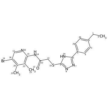 CCc1ccc(-c2nnc(SCC(=O)Nc3ncc(Br)c(C)c3C)[nH]2)cc1